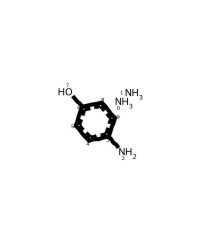 N.N.Nc1ccc(O)cc1